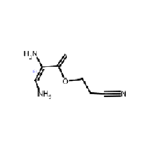 C=C(OCCC#N)/C(N)=C\N